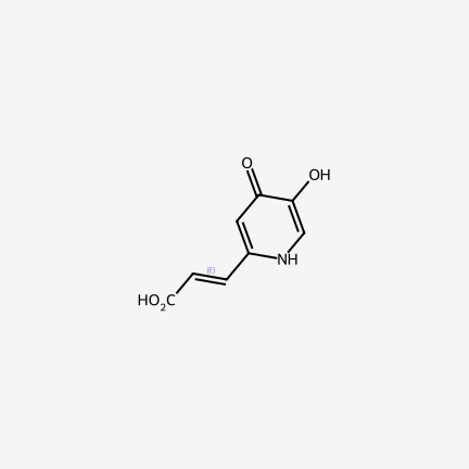 O=C(O)/C=C/c1cc(=O)c(O)c[nH]1